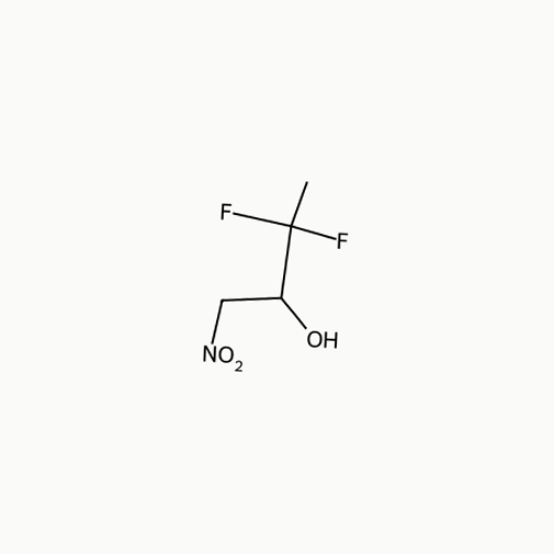 CC(F)(F)C(O)C[N+](=O)[O-]